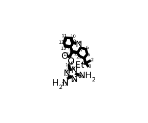 CCC(C)(C)C1CCc2nc3ccccc3c(C(=O)OCc3nc(N)nc(N)n3)c2C1